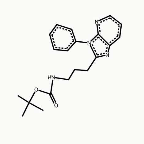 CC(C)(C)OC(=O)NCCCc1nc2cccnc2n1-c1ccccc1